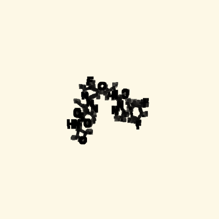 Cc1nn(-c2cc(OC3CN(C(=O)N4N=CC[C@H]4C4(C)C=C(F)C=C(F)C4)C3)c(F)cn2)c(C)c1S(=O)(=O)NC1COC1